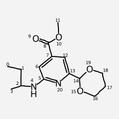 CCC(C)Nc1cc(C(=O)OC)cc(C2OCCCO2)n1